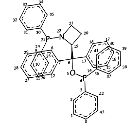 c1ccc(P(OC(c2ccccc2)(c2ccccc2)[C@@H]2CCN2P(c2ccccc2)c2ccccc2)c2ccccc2)cc1